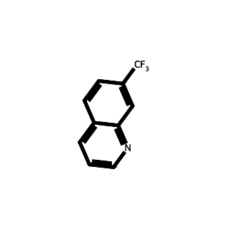 FC(F)(F)c1ccc2cc[c]nc2c1